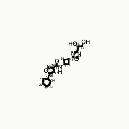 O=C(N[C@H]1C[C@@H](c2nc([C@@H](O)CO)no2)C1)c1cc(-c2ccccc2)on1